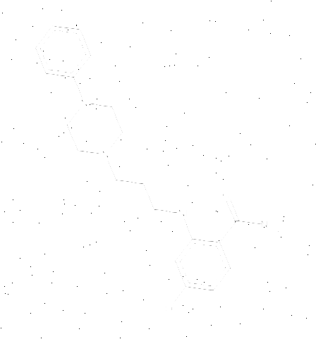 NC(=O)c1ccc(O)cc1NCCCN1CCN(c2ccccc2)CC1